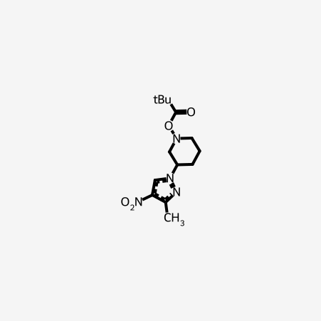 Cc1nn(C2CCCN(OC(=O)C(C)(C)C)C2)cc1[N+](=O)[O-]